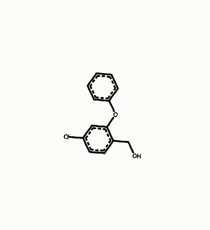 OCc1ccc(Cl)cc1Oc1ccccc1